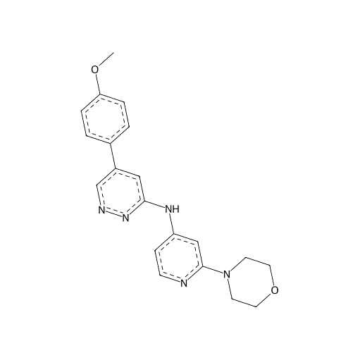 COc1ccc(-c2cnnc(Nc3ccnc(N4CCOCC4)c3)c2)cc1